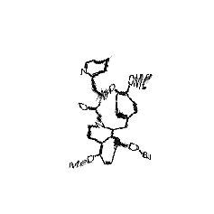 CCC(C)Oc1ccc(OC)c2c1C(Cc1ccc(OC)c(OC)c1)N(CC(=O)NCc1ccccn1)CC2